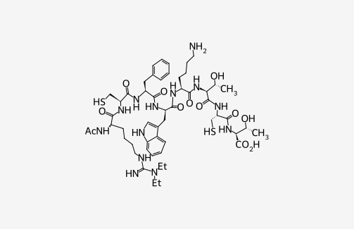 CCN(CC)C(=N)NCCCC[C@@H](NC(C)=O)C(=O)N[C@@H](CS)C(=O)N[C@@H](Cc1ccccc1)C(=O)N[C@H](Cc1c[nH]c2ccccc12)C(=O)N[C@@H](CCCCN)C(=O)N[C@H](C(=O)N[C@@H](CS)C(=O)N[C@H](C(=O)O)[C@@H](C)O)[C@@H](C)O